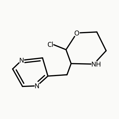 ClC1OCCNC1Cc1cnccn1